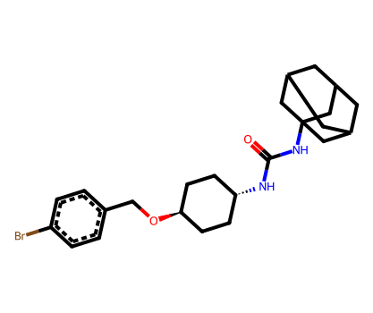 O=C(NC12CC3CC(CC(C3)C1)C2)N[C@H]1CC[C@H](OCc2ccc(Br)cc2)CC1